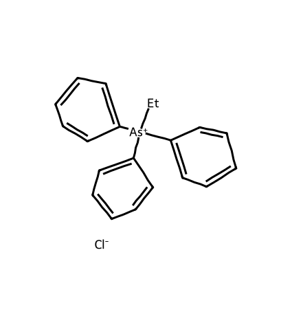 CC[As+](c1ccccc1)(c1ccccc1)c1ccccc1.[Cl-]